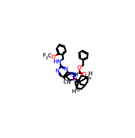 N#Cc1cnc(NCc2ccccc2OC(F)(F)F)nc1NC[C@]12CC3C[C@H](C1)C(N1CCC[C@@H]1C(=O)OCc1ccccc1)[C@@H](C3)C2